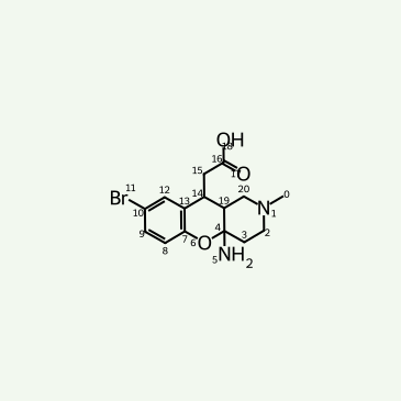 CN1CCC2(N)Oc3ccc(Br)cc3C(CC(=O)O)C2C1